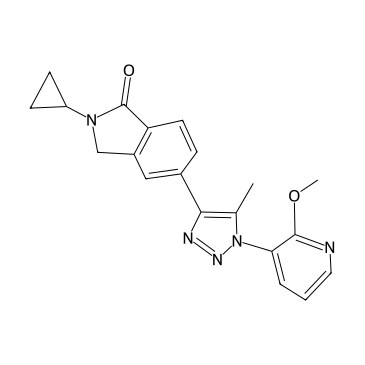 COc1ncccc1-n1nnc(-c2ccc3c(c2)CN(C2CC2)C3=O)c1C